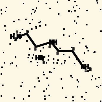 Br.NCCNCCN